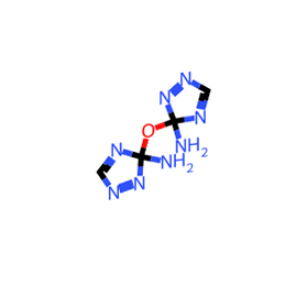 NC1(OC2(N)N=CN=N2)N=CN=N1